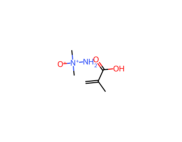 C=C(C)C(=O)O.C[N+](C)(N)[O-]